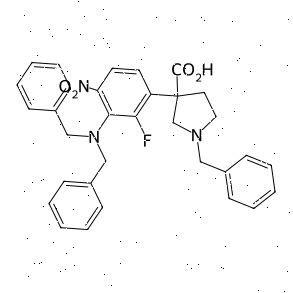 O=C(O)C1(c2ccc([N+](=O)[O-])c(N(Cc3ccccc3)Cc3ccccc3)c2F)CCN(Cc2ccccc2)C1